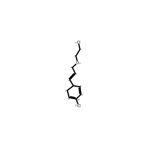 ClCCOCC=CC1C=CC(Cl)=CC1